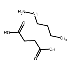 CCCCNN.O=C(O)CCC(=O)O